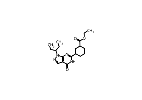 CCOC(=O)C1CCCC(c2nc3c(cnn3C(CC)CC)c(=O)[nH]2)C1